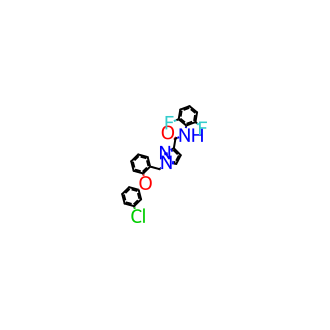 O=C(Nc1c(F)cccc1F)c1ccn(Cc2ccccc2Oc2cccc(Cl)c2)n1